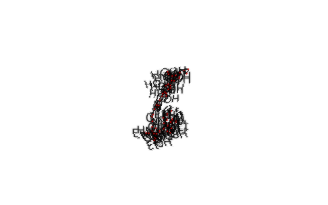 CCC(=O)O[C@H](CC)CC(=O)N[C@H]1C(OC(=O)C[C@@H](CC)OC(=O)CC)[C@H](OP(=O)(O)O)C(CO)O[C@H]1OCC1O[C@H](OCCNC(=O)CCc2cn(CCOC3OC(CO)[C@@H](O[C@@H]4OC(CO)[C@H](O)C(O[C@]5(C(=O)O)C[C@@H](O)[C@@H](NC(=O)Cc6ccccc6)C([C@H](O)[C@H](O)CO)O5)[C@@H]4O)[C@H](O)[C@@H]3O)nn2)C(NC(=O)C[C@H](O)CC)[C@@H](OC(=O)C[C@H](O)CC)[C@@H]1O